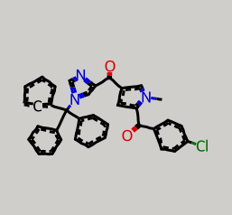 Cn1cc(C(=O)c2cn(C(c3ccccc3)(c3ccccc3)c3ccccc3)cn2)cc1C(=O)c1ccc(Cl)cc1